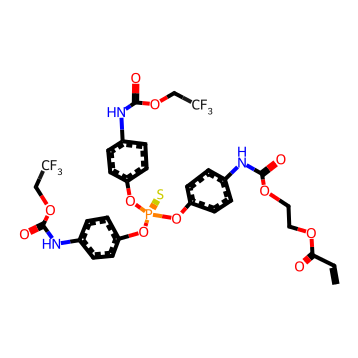 C=CC(=O)OCCOC(=O)Nc1ccc(OP(=S)(Oc2ccc(NC(=O)OCC(F)(F)F)cc2)Oc2ccc(NC(=O)OCC(F)(F)F)cc2)cc1